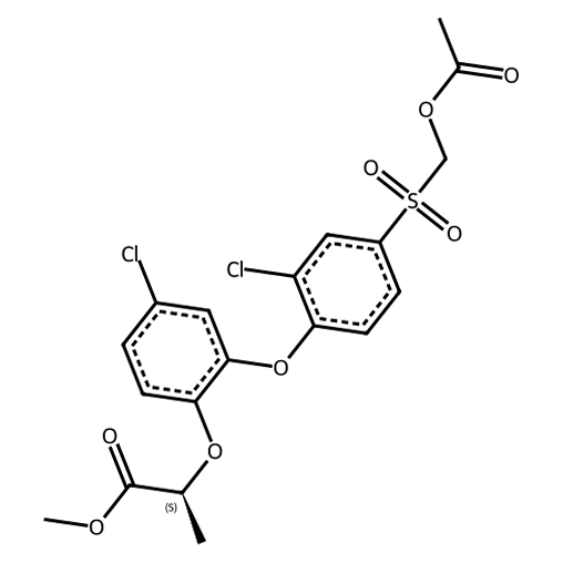 COC(=O)[C@H](C)Oc1ccc(Cl)cc1Oc1ccc(S(=O)(=O)COC(C)=O)cc1Cl